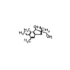 C=Cc1c(C)cc2c(c1C)C(O)C(C)(CO)C2